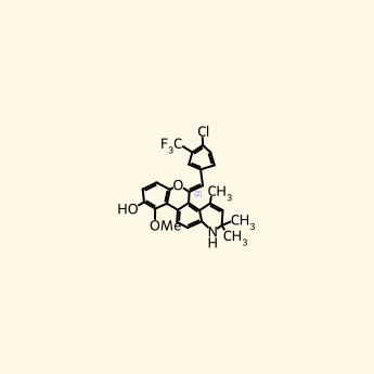 COc1c(O)ccc2c1-c1ccc3c(c1/C(=C/c1ccc(Cl)c(C(F)(F)F)c1)O2)C(C)=CC(C)(C)N3